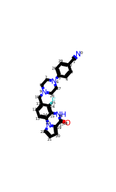 N#Cc1ccc(N2CCN(Cc3ccc4c([nH]c(=O)c5cccn54)c3F)CC2)cc1